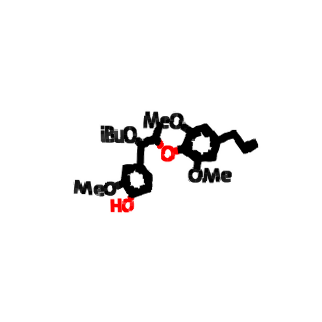 C=CCc1cc(OC)c(OC(C)C(OCC(C)C)c2ccc(O)c(OC)c2)c(OC)c1